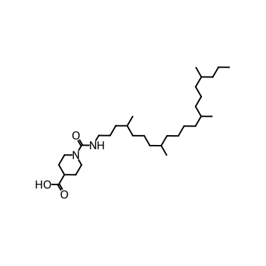 CCCC(C)CCCC(C)CCCCC(C)CCCC(C)CCCNC(=O)N1CCC(C(=O)O)CC1